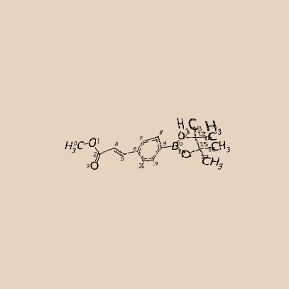 COC(=O)/C=C/c1ccc(B2OC(C)(C)C(C)(C)O2)cc1